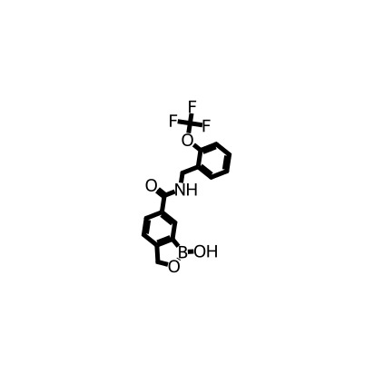 O=C(NCc1ccccc1OC(F)(F)F)c1ccc2c(c1)B(O)OC2